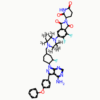 [2H]C1([2H])N(CC2CCC(n3nc(-c4ccc(Oc5ccccc5)cc4)c4c(N)ncnc43)C(F)C2)C([2H])([2H])C([2H])([2H])N(c2cc3c(c(F)c2F)C(=O)N(C2CCC(=O)NC2=O)C3=O)C1([2H])[2H]